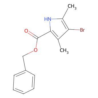 Cc1[nH]c(C(=O)OCc2ccccc2)c(C)c1Br